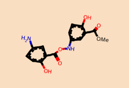 COC(=O)c1cc(NOC(=O)c2cc(N)ccc2O)ccc1O